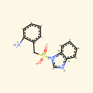 Nc1ccccc1CS(=O)(=O)n1cnc2ccccc21